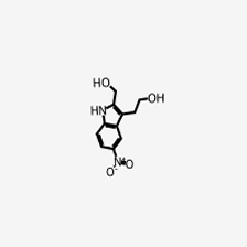 O=[N+]([O-])c1ccc2[nH]c(CO)c(CCO)c2c1